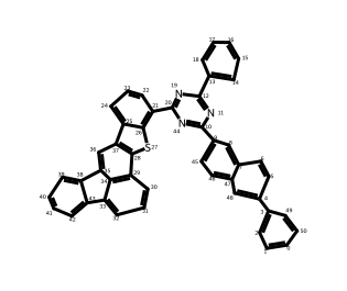 c1ccc(-c2ccc3cc(-c4nc(-c5ccccc5)nc(-c5cccc6c5sc5c7cccc8c7c(cc65)-c5ccccc5-8)n4)ccc3c2)cc1